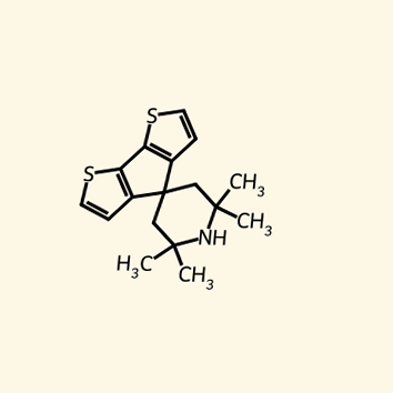 CC1(C)CC2(CC(C)(C)N1)c1ccsc1-c1sccc12